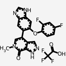 Cn1cc(-c2cc3nc[nH]c3cc2Oc2ccc(F)cc2F)c2cn[nH]c2c1=O.O=C(O)C(F)(F)F